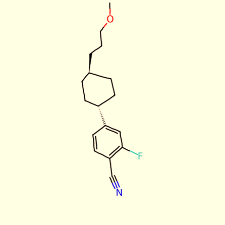 COCCC[C@H]1CC[C@H](c2ccc(C#N)c(F)c2)CC1